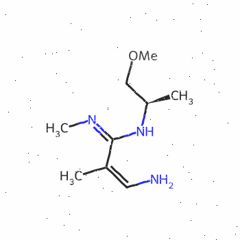 C/N=C(N[C@H](C)COC)\C(C)=C/N